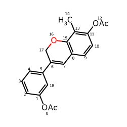 CC(=O)Oc1cccc(C2=Cc3ccc(OC(C)=O)c(C)c3OC2)c1